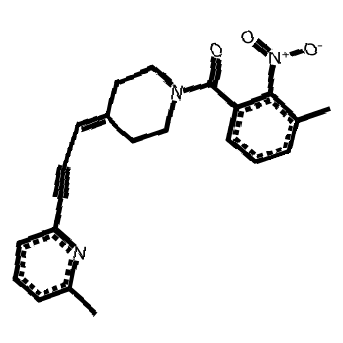 Cc1cccc(C#CC=C2CCN(C(=O)c3cccc(C)c3[N+](=O)[O-])CC2)n1